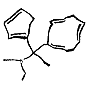 CN(C)C(C)(C1=CC=CC1)c1ccccc1